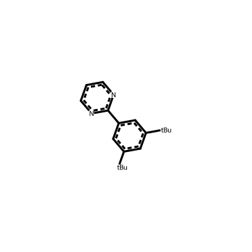 CC(C)(C)c1cc(-c2ncccn2)cc(C(C)(C)C)c1